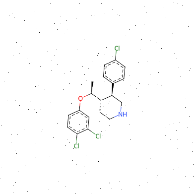 C[C@H](Oc1ccc(Cl)c(Cl)c1)[C@H]1CCNC[C@@H]1c1ccc(Cl)cc1